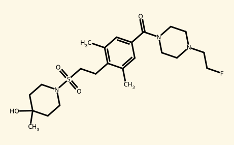 Cc1cc(C(=O)N2CCN(CCF)CC2)cc(C)c1CCS(=O)(=O)N1CCC(C)(O)CC1